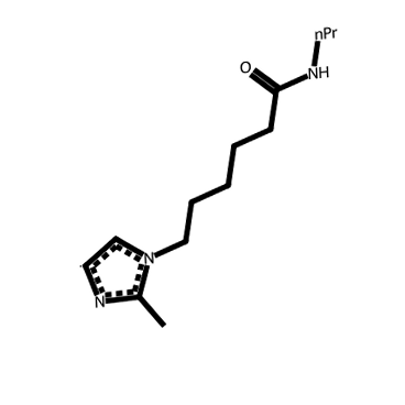 CCCNC(=O)CCCCCn1c[c]nc1C